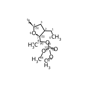 CCC1C[C@H](I)O[C@@H]1[C@@H](C)OP(=O)(OC)OC